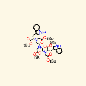 CC(C)(C)OC(=O)CN(CCN(CC(=O)OC(C)(C)C)[C@@H](Cc1c[nH]c2ccccc12)C(=O)OC(C)(C)C)CCN(CC(=O)OC(C)(C)C)[C@@H](Cc1c[nH]c2ccccc12)C(=O)OC(C)(C)C